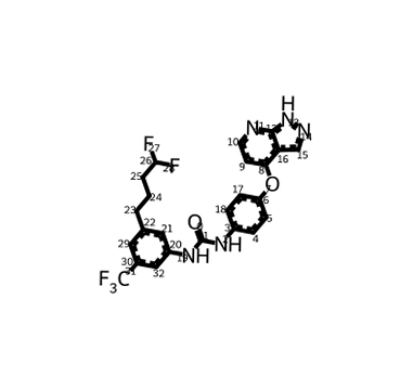 O=C(Nc1ccc(Oc2ccnc3[nH]ncc23)cc1)Nc1cc(CCCC(F)F)cc(C(F)(F)F)c1